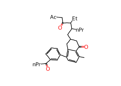 CCCC(=O)c1cccc(-c2ccc(C)c3c2CC(CC(CCC)C(CC)C(=O)CC(C)=O)CC3=O)c1